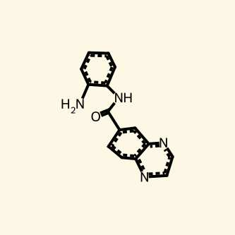 Nc1ccccc1NC(=O)c1ccc2nccnc2c1